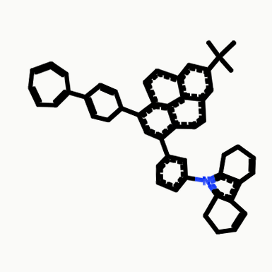 CC(C)(C)c1cc2ccc3c(-c4cccc(-n5c6c(c7c5CCC=C7)C=CCC6)c4)cc(C4C=CC(C5=CC=CC=C=C5)=CC4)c4ccc(c1)c2c34